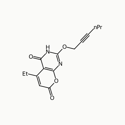 CCCC#CCOc1nc2oc(=O)cc(CC)c2c(=O)[nH]1